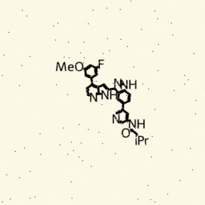 COc1cc(F)cc(-c2ccnc3[nH]c(-c4n[nH]c5ccc(-c6cncc(NC(=O)CC(C)C)c6)cc45)cc23)c1